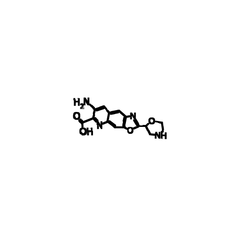 Nc1cc2cc3nc(C4CNCCO4)oc3cc2nc1C(=O)O